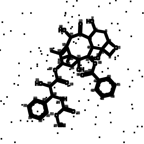 CC(=O)OC12COC1CC(O)C1C(=O)C(O)C3=C(C)C(OC(=O)C(O)C(NC(=O)OC(C)(C)C)c4ccccc4)CC(O)(C(OC(=O)c4ccccc4)C12)C3(C)C